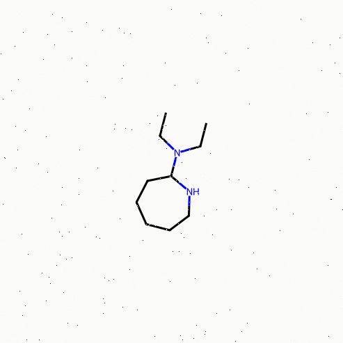 CCN(CC)C1CCCCCN1